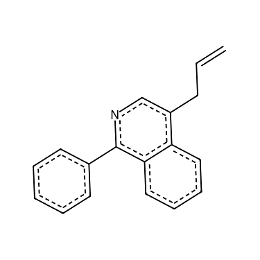 C=CCc1cnc(-c2ccccc2)c2ccccc12